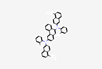 CCc1ccccc1N(c1ccc2c(C)cccc2c1)c1ccc2cc(N(c3ccc4c(C)cccc4c3)c3ccccc3CC)c3ccccc3c2c1